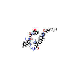 CN(C)C1(Cc2ccccc2)CCC(C(N)=O)CC1.Cc1cccc(CC2(N(C)C)CCC(NC(=O)CCC(=O)N(CCO)Cc3ccccc3)CC2)c1.Cc1cccc(N2CCN(C(=O)CCCC(=O)O)CC2)c1C